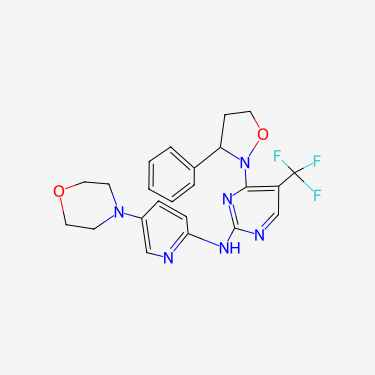 FC(F)(F)c1cnc(Nc2ccc(N3CCOCC3)cn2)nc1N1OCCC1c1ccccc1